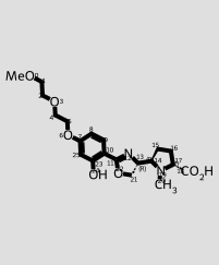 COCCOCCOc1ccc(C2=N[C@H]([C@H]3CC[C@H](C(=O)O)N3C)CO2)c(O)c1